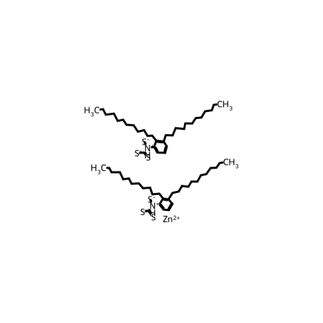 CCCCCCCCCCCCc1cccc([NH+]([S-])C(=S)[S-])c1CCCCCCCCCCCC.CCCCCCCCCCCCc1cccc([NH+]([S-])C(=S)[S-])c1CCCCCCCCCCCC.[Zn+2]